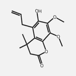 C=CCc1c(O)c(OC)c(OC)c2c1C(C)(C)CC(=O)O2